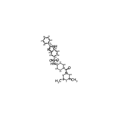 C[C@H]1C[C@H](C)CN(C(=O)C2CCC(NS(=O)(=O)c3ccc4[nH]c(-c5ccccc5)nc4c3)CC2)C1